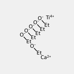 CC[O-].CC[O-].CC[O-].CC[O-].CC[O-].CC[O-].[Ca+2].[Ti+4]